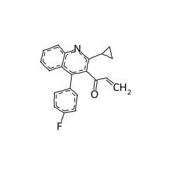 C=CC(=O)c1c(C2CC2)nc2ccccc2c1-c1ccc(F)cc1